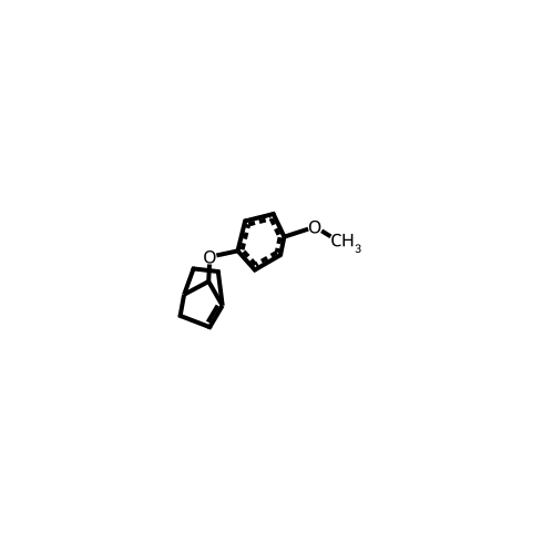 COc1ccc(OC2C3=CCC2CC3)cc1